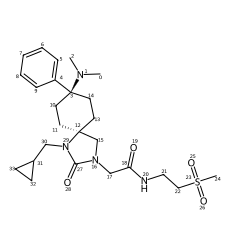 CN(C)[C@]1(c2ccccc2)CC[C@]2(CC1)CN(CC(=O)NCCS(C)(=O)=O)C(=O)N2CC1CC1